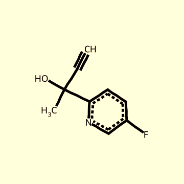 C#CC(C)(O)c1ccc(F)cn1